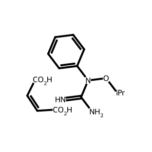 CC(C)ON(C(=N)N)c1ccccc1.O=C(O)/C=C\C(=O)O